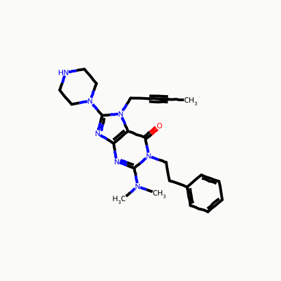 CC#CCn1c(N2CCNCC2)nc2nc(N(C)C)n(CCc3ccccc3)c(=O)c21